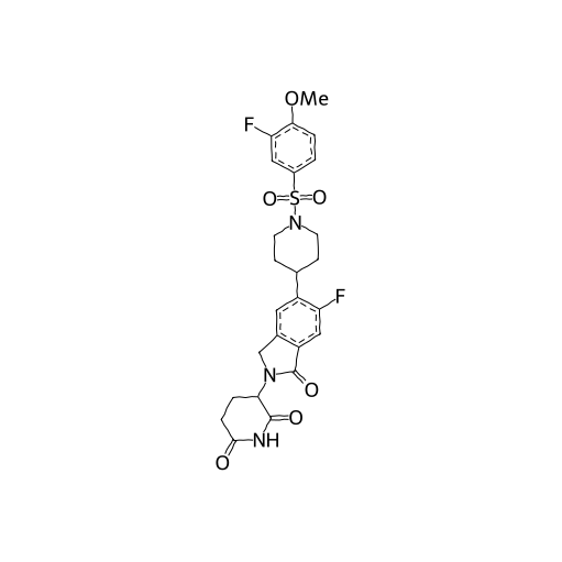 COc1ccc(S(=O)(=O)N2CCC(c3cc4c(cc3F)C(=O)N(C3CCC(=O)NC3=O)C4)CC2)cc1F